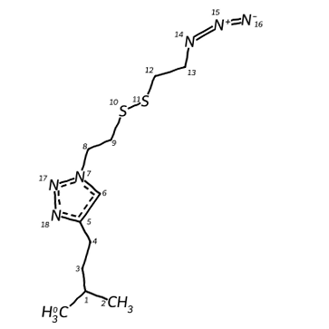 CC(C)CCc1cn(CCSSCCN=[N+]=[N-])nn1